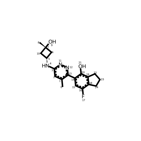 Cc1cc(N[C@H]2C[C@@](C)(O)C2)nnc1-c1cc(F)c2c(c1O)CCC2